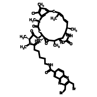 C/C1=C\C=C\[C@@H](C)[C@@]2(O)C[C@H](OC(=O)N2)[C@@H](C)C2O[C@@]2(C)[C@@H](OC(=O)[C@@H](C)N(C)C(=O)CCCCCNC(=O)c2ccc3nc(CBr)c(CBr)nc3c2)CC(=O)N(C)c2cc(cc(C)c2Cl)C1